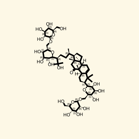 C[C@H](CC[C@H]([C@@H]1O[C@H](CO[C@@H]2O[C@H](CO)[C@@H](O)[C@H](O)[C@H]2O)[C@@H](O)[C@H](O)[C@H]1O)C(C)(C)O)[C@H]1CC[C@@]2(C)[C@@H]3CC=C4[C@@H](CC[C@H]([C@@H]5O[C@H](CO[C@@H]6O[C@H](CO)[C@@H](O)[C@H](O)[C@H]6O)[C@@H](O)[C@H](O)[C@H]5O)C4(C)C)[C@]3(C)C(=O)C[C@]12C